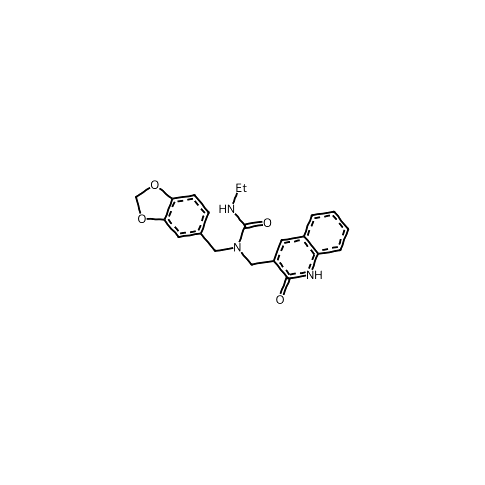 CCNC(=O)N(Cc1ccc2c(c1)OCO2)Cc1cc2ccccc2[nH]c1=O